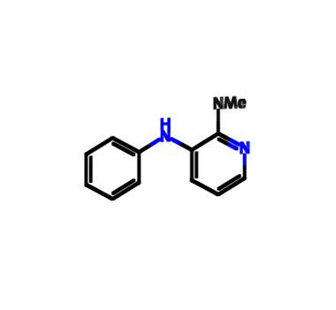 CNc1ncccc1Nc1ccccc1